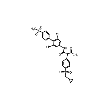 CC(=O)C(C(=O)Nc1cc(Cl)c(-c2ccc(S(C)(=O)=O)cc2)c(Cl)c1)c1ccc(S(=O)(=O)CC2CC2)cc1